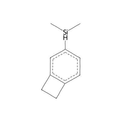 C[SiH](C)c1ccc2c(c1)CC2